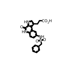 O=C(O)CCc1c[nH]c2c(=O)[nH]c3ccc(NS(=O)(=O)Cc4ccccc4)cc3c12